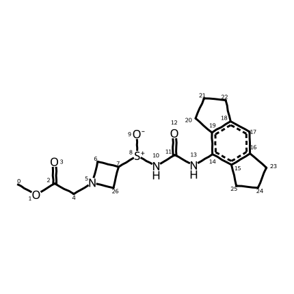 COC(=O)CN1CC([S+]([O-])NC(=O)Nc2c3c(cc4c2CCC4)CCC3)C1